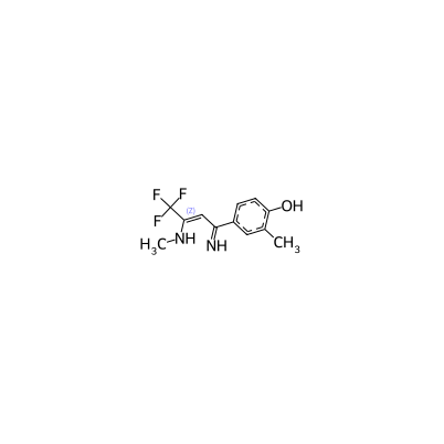 CN/C(=C\C(=N)c1ccc(O)c(C)c1)C(F)(F)F